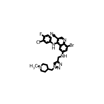 CN1CCC(Cn2cc(CNc3cc(Br)c4ncc(C#N)c(Nc5ccc(F)c(Cl)c5)c4c3)nn2)CC1